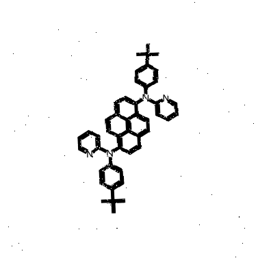 CC(C)(C)c1ccc(N(c2ccccn2)c2ccc3ccc4c(N(c5ccc(C(C)(C)C)cc5)c5ccccn5)ccc5ccc2c3c54)cc1